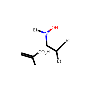 C=C(C)C(=O)O.CCC(CC)CN(O)CC